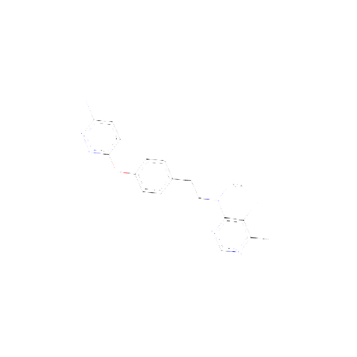 CCc1ncnc(N(CCc2ccc(Oc3ccc(I)nn3)cc2)OC)c1Cl